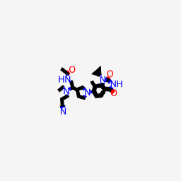 CCN(CCC#N)C(CNC(C)=O)C1CCN(c2ccc3c(=O)[nH]c(=O)n(C4CC4)c3c2C)C1